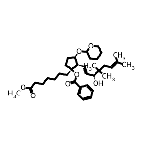 COC(=O)CCCCCC[C@@]1(OC(=O)c2ccccc2)CC[C@@H](OC2CCCCO2)[C@H]1/C=C/[C@@H](O)C(C)(C)CC=C(C)C